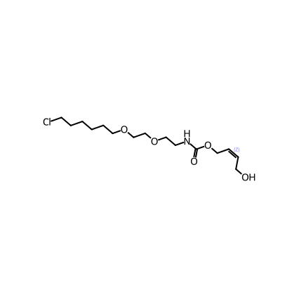 O=C(NCCOCCOCCCCCCCl)OC/C=C\CO